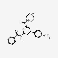 O=C(NC1CC(c2ccc(C(F)(F)F)cc2)CN(C(=O)N2CCOCC2)C1)c1ccccc1